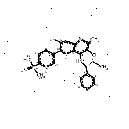 CC[C@@H](Nc1c(Cl)c(C)nc2cc(F)c(-c3ccc(P(C)(C)=O)nc3)nc12)c1ccccc1